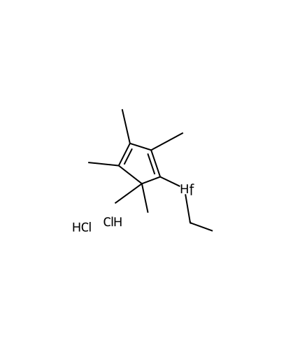 C[CH2][Hf][C]1=C(C)C(C)=C(C)C1(C)C.Cl.Cl